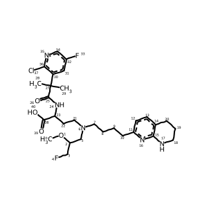 COC(CF)CN(CCCCc1ccc2c(n1)NCCC2)CCC(NC(=O)C(C)(C)c1cc(F)cnc1Cl)C(=O)O